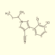 C[CH]C(C)n1cc(C#N)c(-c2cccc(Cl)c2Cl)c1